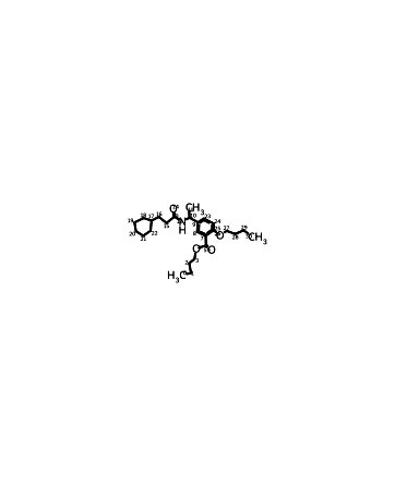 CCCCOC(=O)c1cc(C(C)NC(=O)CCC2CCCCC2)ccc1OCCCC